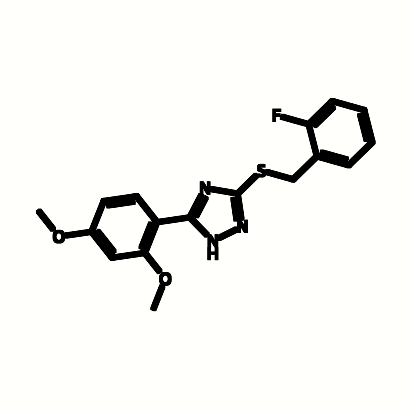 COc1ccc(-c2nc(SCc3ccccc3F)n[nH]2)c(OC)c1